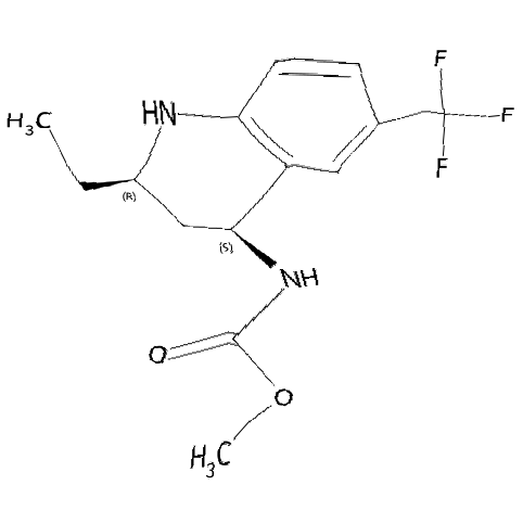 CC[C@@H]1C[C@H](NC(=O)OC)c2cc(C(F)(F)F)ccc2N1